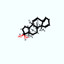 C[C@]12C=CCC=C1C=C[C@@H]1[C@H]2CC[C@@]2(C)[C@H]1CCC2(O)O